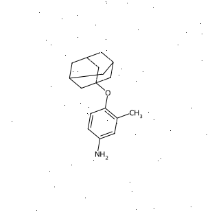 Cc1cc(N)ccc1OC12CC3CC(CC(C3)C1)C2